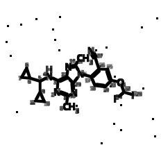 Cc1nc(NC(C2CC2)C2CC2)c2nc(C)n(-c3ccc(OC(F)F)cc3C#N)c2n1